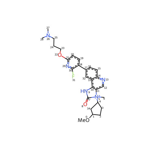 COC1CCC([N+]2(C)C(=O)Nc3c2cnc2ccc(-c4ccc(OCCCN(C)C)nc4F)cc32)C1